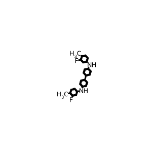 Cc1ccc(Nc2ccc(-c3ccc(Nc4ccc(C)c(F)c4)cc3)cc2)cc1F